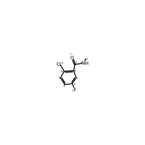 CNC(=O)c1cc(F)ccc1Cl